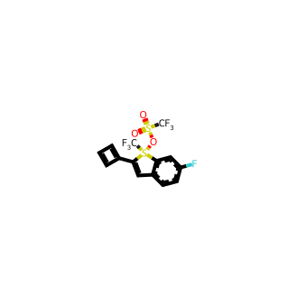 O=S(=O)(OS1(C(F)(F)F)C(C2=CC=C2)=Cc2ccc(F)cc21)C(F)(F)F